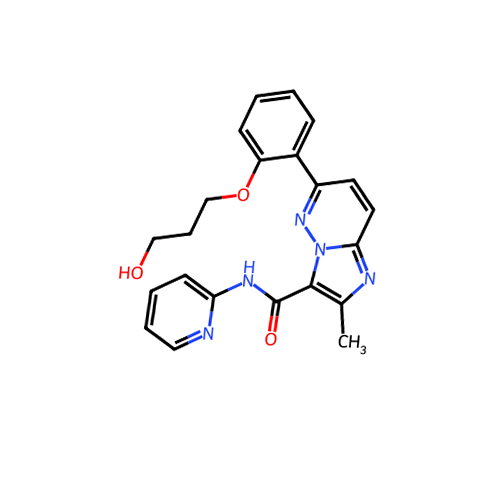 Cc1nc2ccc(-c3ccccc3OCCCO)nn2c1C(=O)Nc1ccccn1